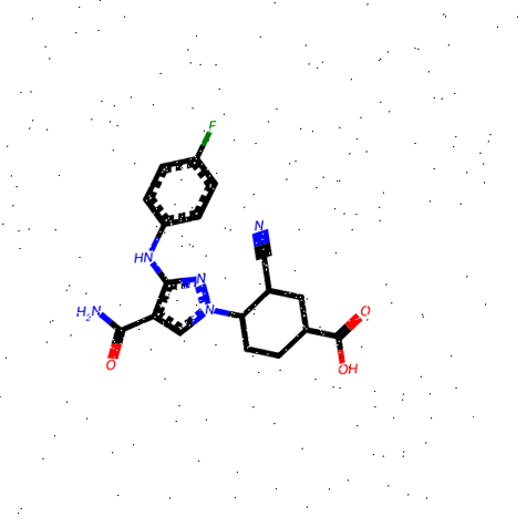 N#CC1CC(C(=O)O)CCC1n1cc(C(N)=O)c(Nc2ccc(F)cc2)n1